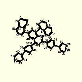 c1ccc2c(-c3cc(-c4cccc5ccccc45)c4nc(-c5ccc(-c6ccncc6)cc5)nc(-c5ccc(-c6ccncc6)cc5)c4c3)cccc2c1